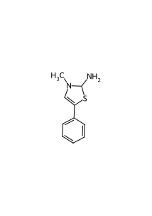 CN1C=C(c2ccccc2)SC1N